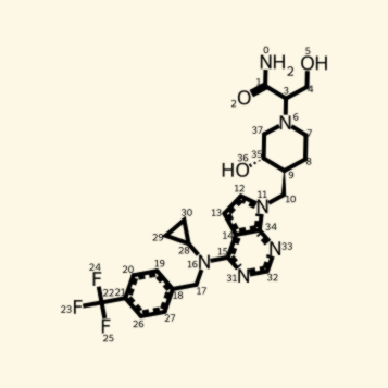 NC(=O)C(CO)N1CC[C@@H](Cn2ccc3c(N(Cc4ccc(C(F)(F)F)cc4)C4CC4)ncnc32)[C@H](O)C1